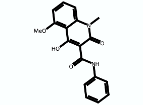 COc1cccc2c1c(O)c(C(=O)Nc1ccccc1)c(=O)n2C